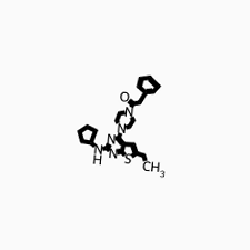 CCc1cc2c(N3CCN(C(=O)Cc4ccccc4)CC3)nc(NC3CCCC3)nc2s1